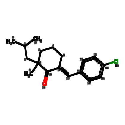 CC(C)CC1(C)CCC/C(=C\c2ccc(Cl)cc2)C1=O